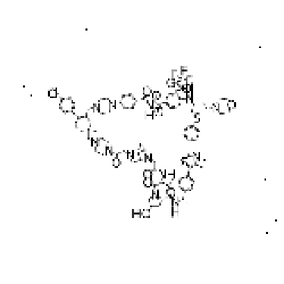 Cc1ncsc1-c1ccc([C@H](C)NC(=O)[C@@H]2C[C@@H](O)CN2C(=O)[C@@H](NC(=O)CN2C3CN(CC(=O)N4CCN(CC5(C)CCC(c6ccc(Cl)cc6)=C(CN6CCN(c7ccc(C(=O)NS(=O)(=O)c8ccc(N[C@H](CCN9CCOCC9)CSc9ccccc9)c(S(=O)(=O)C(F)(F)F)c8)cc7)CC6)C5)CC4)[C@@]34CC24)C(C)(C)C)cc1